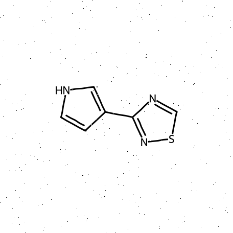 [c]1[nH]ccc1-c1ncsn1